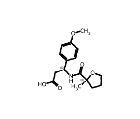 COc1ccc([C@H](CC(=O)O)NC(=O)[C@@]2(C)CCCO2)cc1